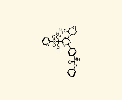 C[C@H]1COCCN1c1cc(C(C)(C)S(=O)(=O)c2ccccn2)nc(-c2ccc(NC(=O)Oc3ccccc3)cc2)n1